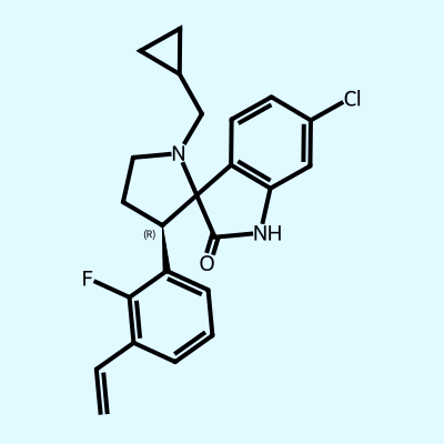 C=Cc1cccc([C@H]2CCN(CC3CC3)C23C(=O)Nc2cc(Cl)ccc23)c1F